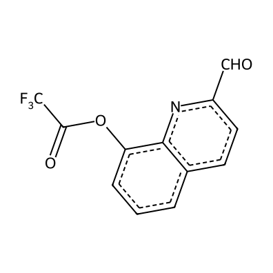 O=Cc1ccc2cccc(OC(=O)C(F)(F)F)c2n1